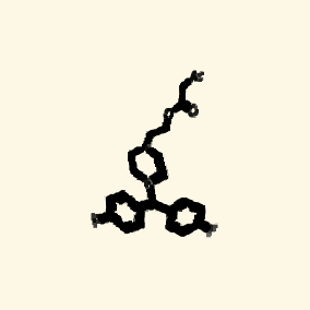 CC(=O)CC(=O)OCCN1CCN(C(c2ccc(F)cc2)c2ccc(F)cc2)CC1